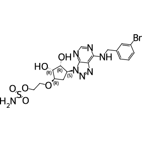 NS(=O)(=O)OCCO[C@@H]1C[C@H](n2nnc3c(NCc4cccc(Br)c4)ncnc32)[C@@H](O)[C@H]1O